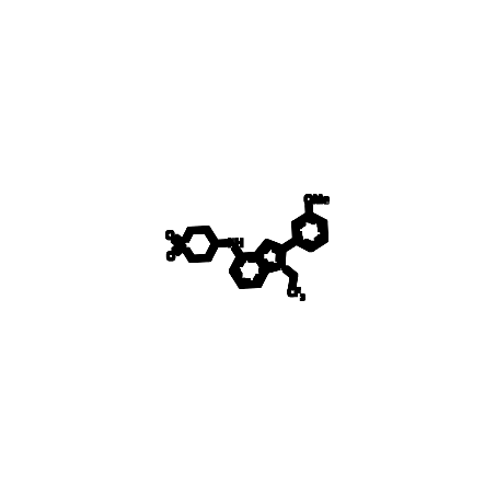 COc1cccc(-c2cc3c(NC4CCS(=O)(=O)CC4)cccc3n2CC(F)(F)F)c1